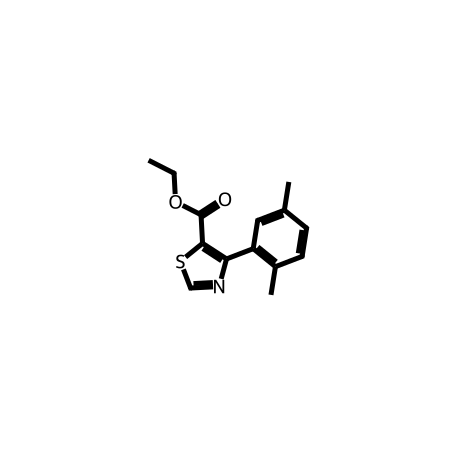 CCOC(=O)c1scnc1-c1cc(C)ccc1C